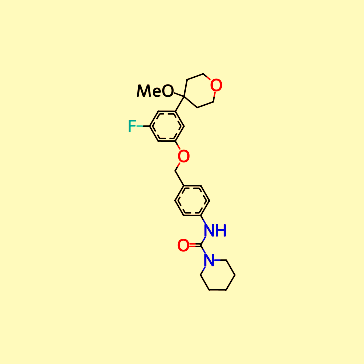 COC1(c2cc(F)cc(OCc3ccc(NC(=O)N4CCCCC4)cc3)c2)CCOCC1